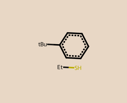 CC(C)(C)c1ccccc1.CCS